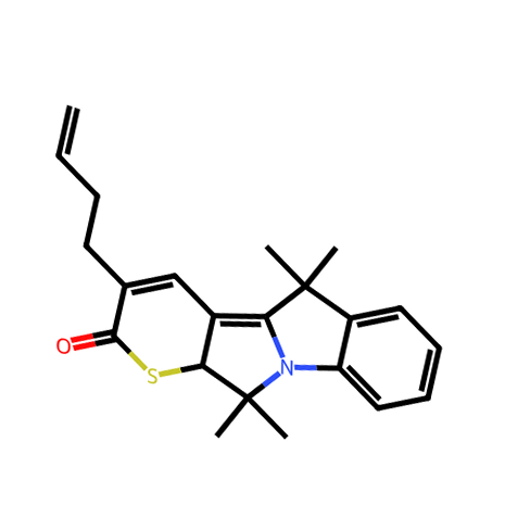 C=CCCC1=CC2=C3N(c4ccccc4C3(C)C)C(C)(C)C2SC1=O